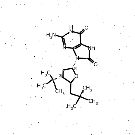 CC(C)(C)CC1O[C@@H](n2c(=O)[nH]c3c(=O)[nH]c(N)nc32)C[C@H]1C(C)(C)C